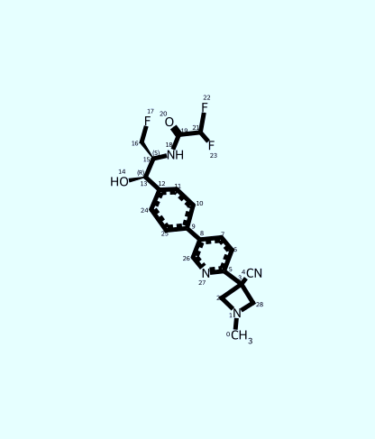 CN1CC(C#N)(c2ccc(-c3ccc([C@@H](O)[C@@H](CF)NC(=O)C(F)F)cc3)cn2)C1